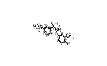 C=C(NCc1ccc(F)c(C(F)(F)F)c1)c1cc(N)ncn1